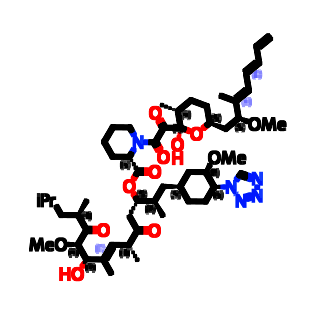 C=C/C=C/C=C(\C)[C@H](C[C@@H]1CC[C@@H](C)[C@](O)(C(=O)C(=O)N2CCCC[C@H]2C(=O)O[C@@H](CC(=O)[C@H](C)/C=C(\C)[C@@H](O)[C@@H](OC)C(=O)[C@H](C)CC(C)C)[C@H](C)C[C@@H]2CC[C@H](n3cnnn3)[C@H](OC)C2)O1)OC